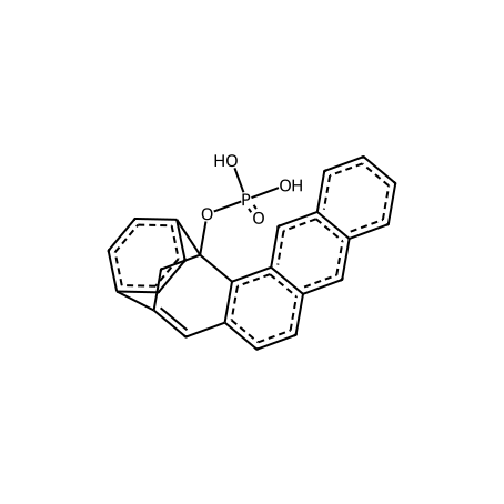 O=P(O)(O)OC12CC(=Cc3ccc4cc5ccccc5cc4c31)c1ccc2cc1